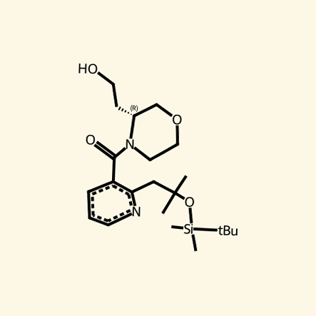 CC(C)(Cc1ncccc1C(=O)N1CCOC[C@H]1CCO)O[Si](C)(C)C(C)(C)C